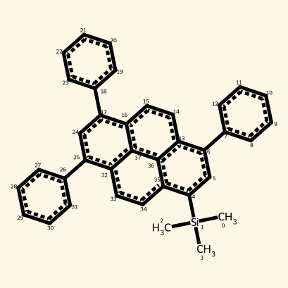 C[Si](C)(C)c1cc(-c2ccccc2)c2ccc3c(-c4ccccc4)cc(-c4ccccc4)c4ccc1c2c34